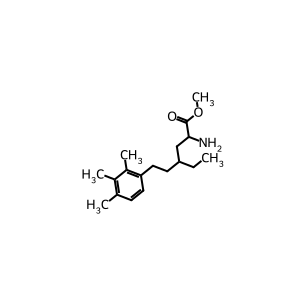 CCC(CCc1ccc(C)c(C)c1C)CC(N)C(=O)OC